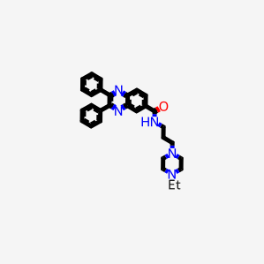 CCN1CCN(CCCNC(=O)c2ccc3nc(-c4ccccc4)c(-c4ccccc4)nc3c2)CC1